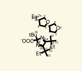 C1CCOC1.C1CCOC1.CCC(C)(C)C1=NC(C(=O)[O-])(C(C)(C)C)N=C1C(C)(C)CC.[Eu+2].[I-]